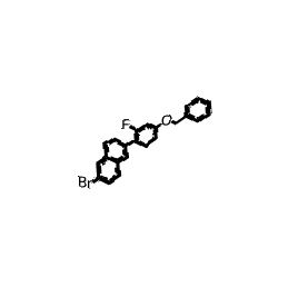 Fc1cc(OCc2ccccc2)ccc1-c1ccc2cc(Br)ccc2c1